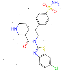 NS(=O)(=O)c1ccc(CCN(C(=O)C2CCCNC2)c2nc3ccc(Cl)cc3s2)cc1